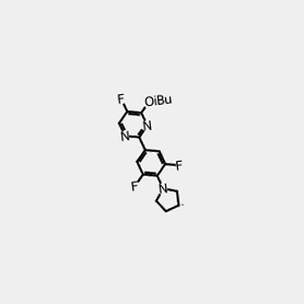 CC(C)COc1nc(-c2cc(F)c(N3C[CH]CC3)c(F)c2)ncc1F